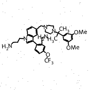 COc1cc(OC)cc(C(C)(C)N2CCN(Cc3ccc4c(c3)c(-c3ccc(OC(F)(F)F)cc3CN)cn4CCCN)CC2)c1